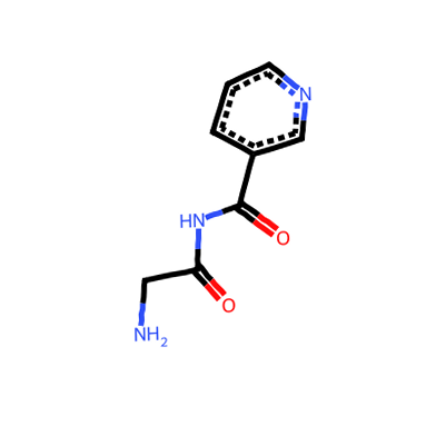 NCC(=O)NC(=O)c1cccnc1